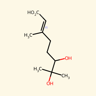 C/C(=C\C(=O)O)CCC(O)C(C)(C)O